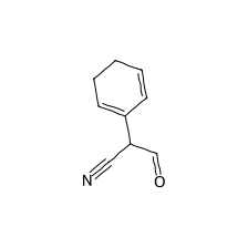 N#CC(C=O)C1=CCCC=C1